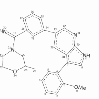 COc1ccccc1-c1c[nH]c2ncc(-c3cccc(C(=N)N4CCOC(C)C4)c3)cc12